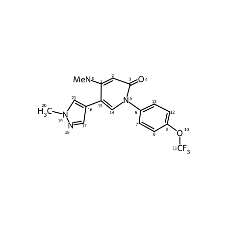 CNc1cc(=O)n(-c2ccc(OC(F)(F)F)cc2)cc1-c1cnn(C)c1